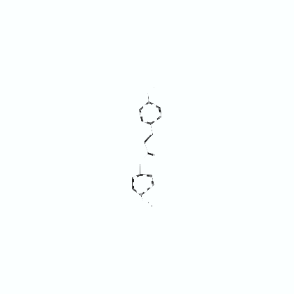 CCCc1ccc(/C=C/C(=O)Oc2ccc(C#N)cc2)cc1